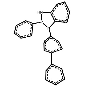 c1ccc(-c2ccc(N3c4ccccc4NP3c3ccccc3)cc2)cc1